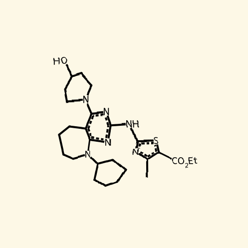 CCOC(=O)c1sc(Nc2nc(N3CCC(O)CC3)c3c(n2)N(C2CCCCC2)CCCC3)nc1C